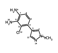 Cn1cc(-c2ccc(N)c(N)c2Cl)cn1